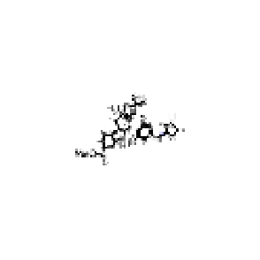 COC(=O)c1ccc2c3c([nH]c2c1)[C@@H](c1c(F)cc(/C=C2/CCNC2)cc1F)N(CC(C)(F)F)[C@H](C)C3